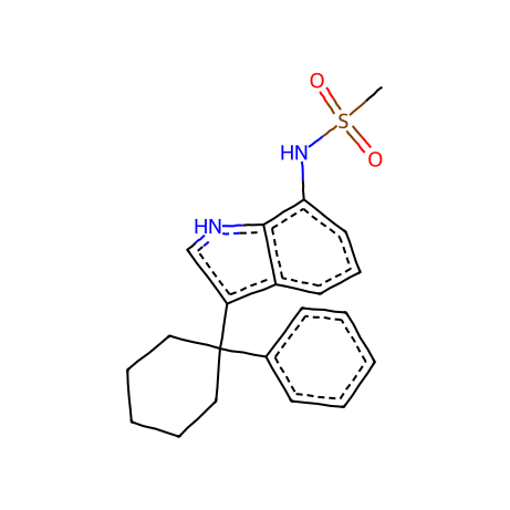 CS(=O)(=O)Nc1cccc2c(C3(c4ccccc4)CCCCC3)c[nH]c12